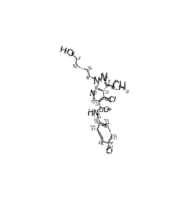 Cc1nn(CCCCO)c2ncc(C(=O)Nc3ccc(Cl)cc3)c(Cl)c12